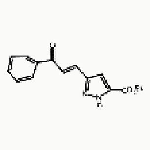 CCOC(=O)c1cc(/C=C/C(=O)c2ccccc2)n[nH]1